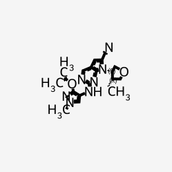 CC[C@H]1COC[C@H]1n1c(C#N)cc2cnc(Nc3cn(C)nc3OC(C)C)nc21